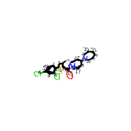 Cc1cc(-c2ccc(Cl)cc2Cl)sc1C(=O)N1CCC(N2CCCCCC2)CC1